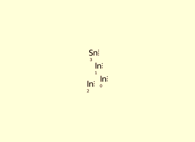 [In].[In].[In].[Sn]